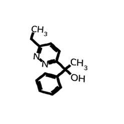 CCc1ccc(C(C)(O)c2ccccc2)nn1